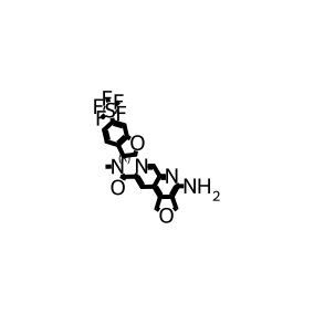 CN(C(=O)c1cc2c3c(c(N)nc2cn1)COC3)[C@H]1COc2cc(S(F)(F)(F)(F)F)ccc21